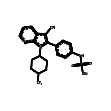 CC(C)(C)S(=O)(=O)Nc1ccc(-c2c(C#N)c3cccnc3n2C2CCC(C(F)(F)F)CC2)cc1